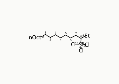 CCCCCCCCCCCCCCCC(CC)[Si](Cl)(Cl)Cl